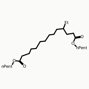 CCCCCOC(=O)CCCCCCCCCC(CC)CCC(=O)OCCCCC